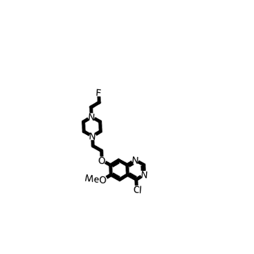 COc1cc2c(Cl)ncnc2cc1OCCN1CCN(CCF)CC1